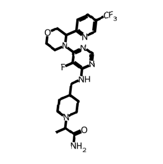 CC(C(N)=O)N1CCC(CNc2ncnc(N3CCOCC3c3ccc(C(F)(F)F)cn3)c2F)CC1